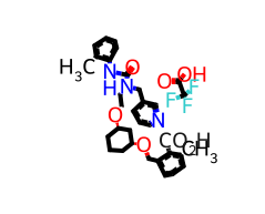 Cc1ccccc1NC(=O)N(CCO[C@@H]1CCC[C@H](OCc2cccc(C)c2C(=O)O)C1)Cc1cccnc1.O=C(O)C(F)(F)F